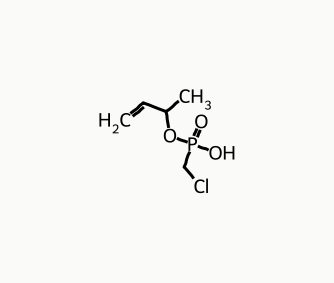 C=CC(C)OP(=O)(O)CCl